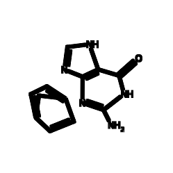 C1=CC2=CC=C1C2.Nc1nc2nc[nH]c2c(=O)[nH]1